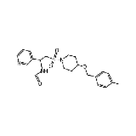 Cc1ccc(COC2CCN(S(=O)(=O)CC(NC=O)c3cccnc3)CC2)cc1